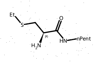 CCCCCNC(=O)[C@@H](N)CSCC